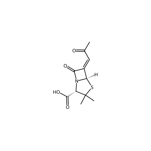 CC(=O)/C=C1\C(=O)N2[C@@H]1SC(C)(C)[C@@H]2C(=O)O